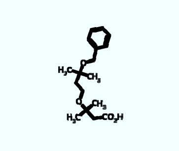 CC(C)(CCOC(C)(C)CC(=O)O)OCc1ccccc1